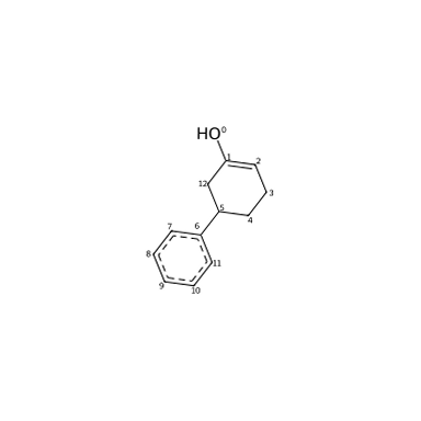 OC1=CCCC(c2ccccc2)C1